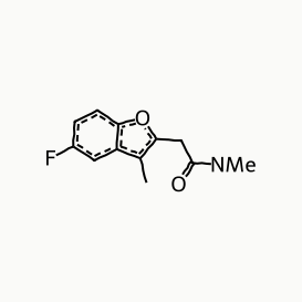 CNC(=O)Cc1oc2ccc(F)cc2c1C